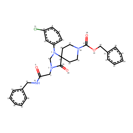 O=C(CN1CN(c2cccc(Cl)c2)C2(CCN(C(=O)OCc3ccccc3)CC2)C1=O)NCc1ccccc1